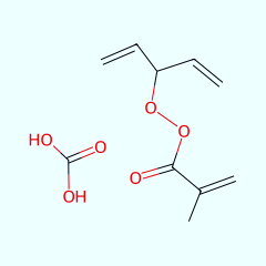 C=CC(C=C)OOC(=O)C(=C)C.O=C(O)O